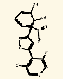 O=[N+]([O-])C1(c2cc(-c3c(Cl)cncc3Cl)on2)C=CC=C(O)C1O